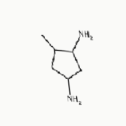 CC1CC(N)CC1N